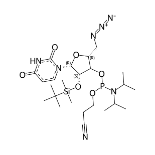 CC(C)N(C(C)C)P(OCCC#N)OC1[C@@H](CN=[N+]=[N-])O[C@@H](n2ccc(=O)[nH]c2=O)[C@H]1O[Si](C)(C)C(C)(C)C